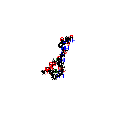 CC(C)(C)OC(=O)COc1c(C(=O)OC(C)(C)C)sc(-c2cccc(NC3CCN(S(=O)(=O)Cc4ccc(F)c(NC(=O)C5CN(C(=O)CNc6cccc7c6CN(C6CCC(=O)NC6=O)C7=O)C5)c4)CC3)c2)c1Cl